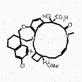 CO[C@H]1C/C=C\CN(C)C(=O)C[C@](O)(C(=O)O)c2ccc3c(c2)N(C[C@@H]2CC[C@H]21)C[C@@]1(CCCc2cc(Cl)ccc21)CO3